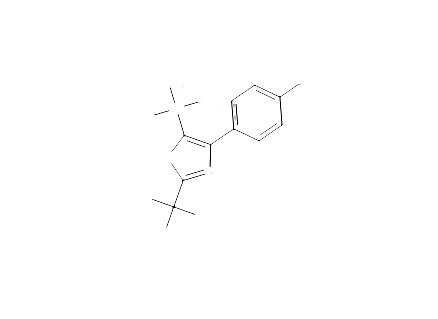 CC(C)(C)c1nc(-c2ccc(F)cc2)[c]([Sn]([CH3])([CH3])[CH3])o1